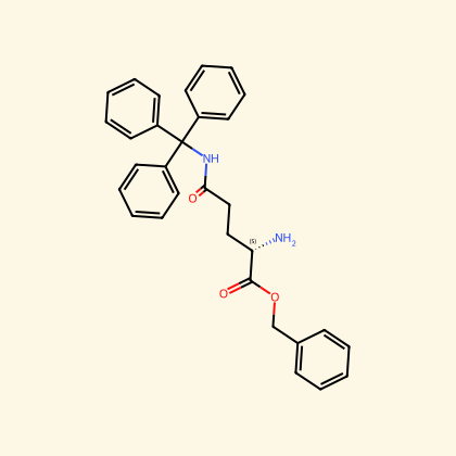 N[C@@H](CCC(=O)NC(c1ccccc1)(c1ccccc1)c1ccccc1)C(=O)OCc1ccccc1